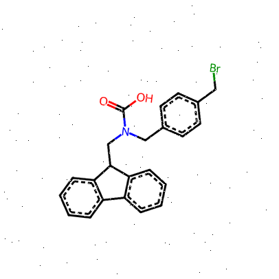 O=C(O)N(Cc1ccc(CBr)cc1)CC1c2ccccc2-c2ccccc21